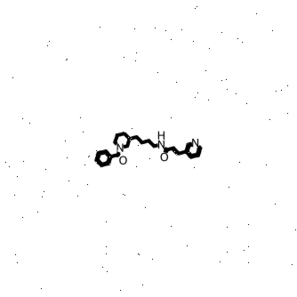 O=C(C=Cc1cccnc1)NCCCCC1CCCN(C(=O)c2ccccc2)C1